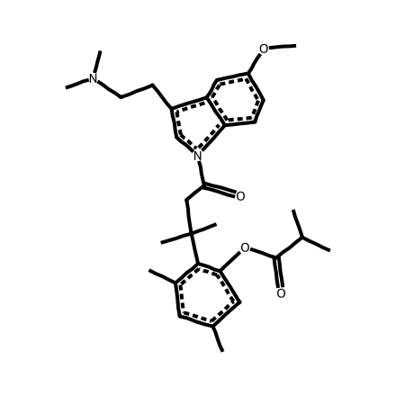 COc1ccc2c(c1)c(CCN(C)C)cn2C(=O)CC(C)(C)c1c(C)cc(C)cc1OC(=O)C(C)C